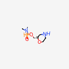 CN(C)[PH](=O)OC[C@@H]1CNCCO1